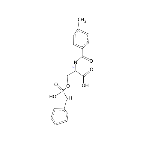 Cc1ccc(C(=O)/N=C(/COP(=O)(O)Nc2ccccc2)C(=O)O)cc1